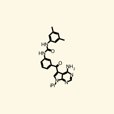 Cc1cc(C)cc(NC(=O)Nc2cccc(C(=O)c3cn(C(C)C)c4ncnc(N)c34)c2)c1